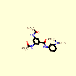 O=CN(C(=O)O)c1cccc(NC(=O)c2cc(NC(=O)C(=O)O)cc(NC(=O)C(=O)O)c2)c1